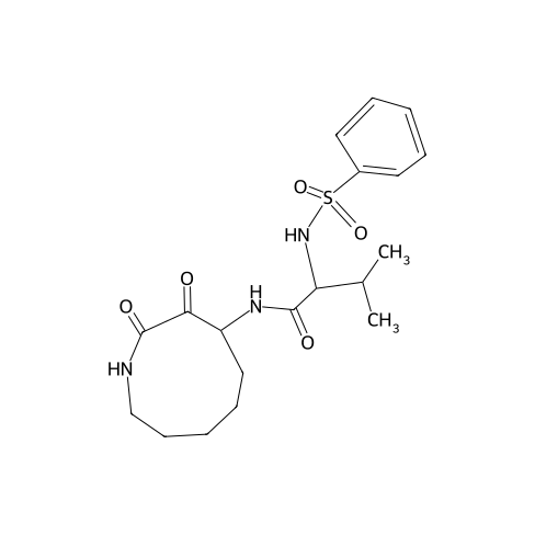 CC(C)C(NS(=O)(=O)c1ccccc1)C(=O)NC1CCCCCNC(=O)C1=O